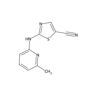 Cc1cccc(Nc2ncc(C#N)s2)n1